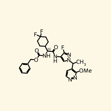 COc1nnccc1C(C)n1cc(NC(=O)[C@@H](NC(=O)OCc2ccccc2)C2CCC(F)(F)CC2)c(F)n1